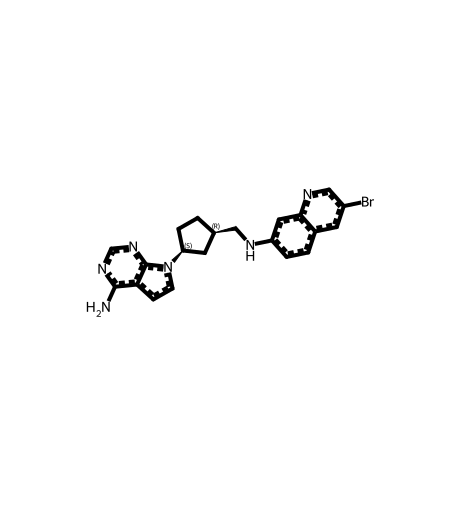 Nc1ncnc2c1ccn2[C@H]1CC[C@@H](CNc2ccc3cc(Br)cnc3c2)C1